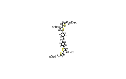 CCCCCCCCCCCCc1ccc(-c2sc(-c3ccc(/C=C/c4ccc(-c5cc(CCCCCC)c(-c6ccc(CCCCCCCCCCCC)s6)s5)cc4)cc3)cc2CCCCCC)s1